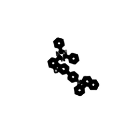 c1ccc(-c2nc(-c3ccccc3)nc(-c3cccc4oc5cc(-c6ccc(-n7c8ccccc8c8c9ccccc9ccc87)cc6)ccc5c34)n2)cc1